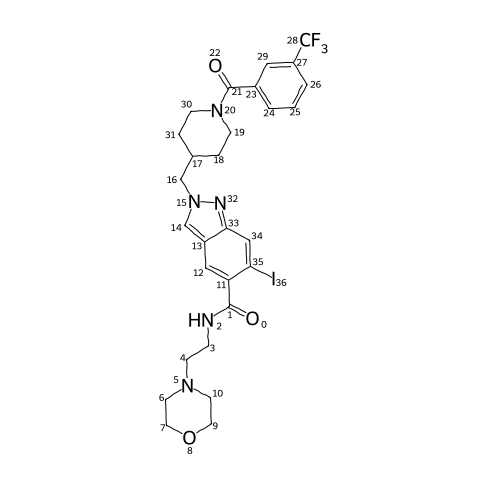 O=C(NCCN1CCOCC1)c1cc2cn(CC3CCN(C(=O)c4cccc(C(F)(F)F)c4)CC3)nc2cc1I